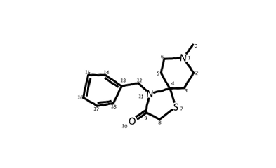 CN1CCC2(CC1)SCC(=O)N2Cc1ccccc1